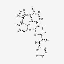 O=C(Nc1ccccc1)N1CCC(n2ccc(=O)c(-c3ccnn3-c3ccccc3)n2)CC1